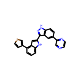 c1cc(-c2ccsc2)c2cc(-c3n[nH]c4ccc(-c5cnccn5)cc34)[nH]c2c1